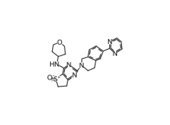 [O-][S@+]1CCc2nc(N3CCc4cc(-c5ncccn5)ccc4C3)nc(NC3CCOCC3)c21